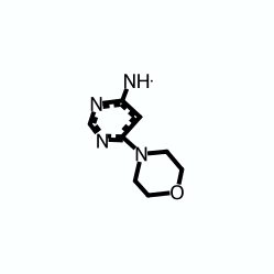 [NH]c1cc(N2CCOCC2)ncn1